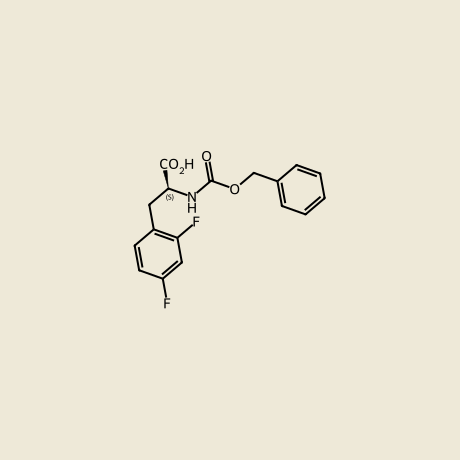 O=C(N[C@@H](Cc1ccc(F)cc1F)C(=O)O)OCc1ccccc1